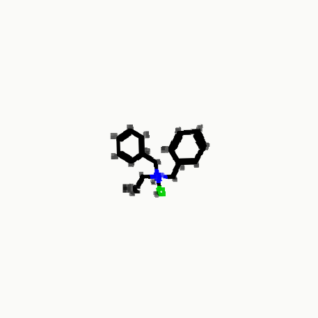 CC[N+](Cl)(Cc1ccccc1)Cc1ccccc1